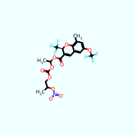 Cc1cc(OC(F)(F)F)cc2c1O[C@H](C(F)(F)F)C(C(=O)OC(C)OC(=O)OCC(C)O[N+](=O)[O-])=C2